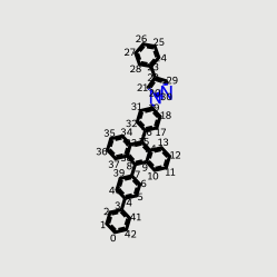 c1ccc(-c2ccc(-c3c4ccccc4c(-c4ccc(-n5cc(-c6ccccc6)cn5)cc4)c4ccccc34)cc2)cc1